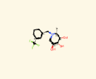 C[C@@H]1[C@@H](O)[C@H](O)[C@@H](O)CN1C[C@@H]1CCC[C@@H](C(F)(F)F)C1